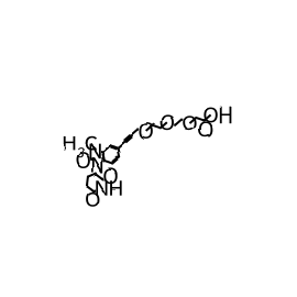 Cn1c(=O)n(C2CCC(=O)NC2=O)c2ccc(C#CCOCCOCCOCC(=O)O)cc21